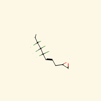 FC(F)(F)CC(F)(F)C(F)(F)C(F)(F)C=CCC1CO1